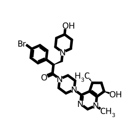 C[C@@H]1C[C@@H](O)C2=C1C(N1CCN(C(=O)[C@H](CN3CCC(O)CC3)c3ccc(Br)cc3)CC1)=NCN2C